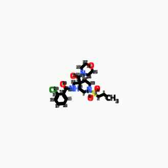 CCCS(=O)(=O)N1CCC(CNC(=O)c2ccccc2Cl)(C(=O)N2CCOCC2)CC1